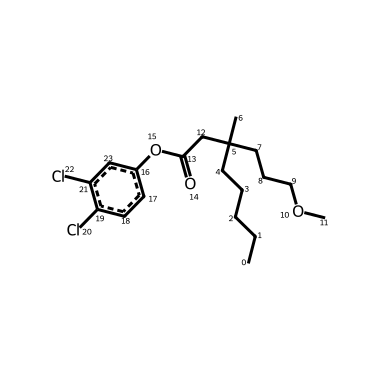 CCCCCC(C)(CCCOC)CC(=O)Oc1ccc(Cl)c(Cl)c1